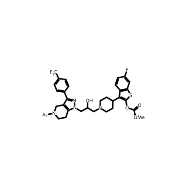 COC(=O)Oc1sc2cc(F)ccc2c1C1CCN(CC(O)Cn2nc(-c3ccc(C(F)(F)F)cc3)c3c2CCN(C(C)=O)C3)CC1